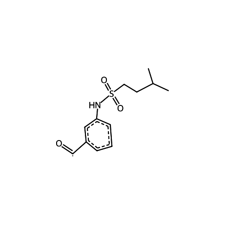 CC(C)CCS(=O)(=O)Nc1cccc([C]=O)c1